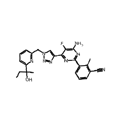 CCC(C)(O)c1cccc(Cn2cc(-c3nc(-c4cccc(C#N)c4C)nc(N)c3F)nn2)n1